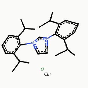 CC(C)c1cccc(C(C)C)c1-n1cc[n+](-c2c(C(C)C)cccc2C(C)C)c1.[Cl-].[Cu+]